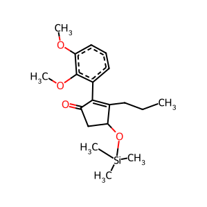 CCCC1=C(c2cccc(OC)c2OC)C(=O)CC1O[Si](C)(C)C